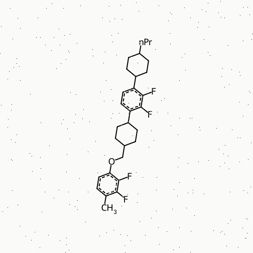 CCCC1CCC(c2ccc(C3CCC(COc4ccc(C)c(F)c4F)CC3)c(F)c2F)CC1